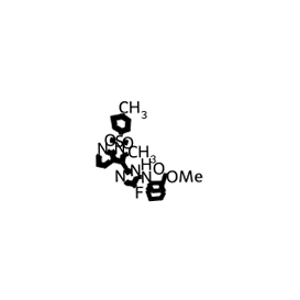 COC(=O)C1C2CCC(CC2)C1Nc1nc(-c2c(C)n(S(=O)(=O)c3ccc(C)cc3)c3ncccc23)ncc1F